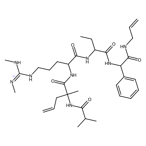 C=CCNC(=O)C(NC(=O)C(CC)NC(=O)C(CCCN/C(=N\C)NC)NC(=O)C(C)(CC=C)NC(=O)C(C)C)c1ccccc1